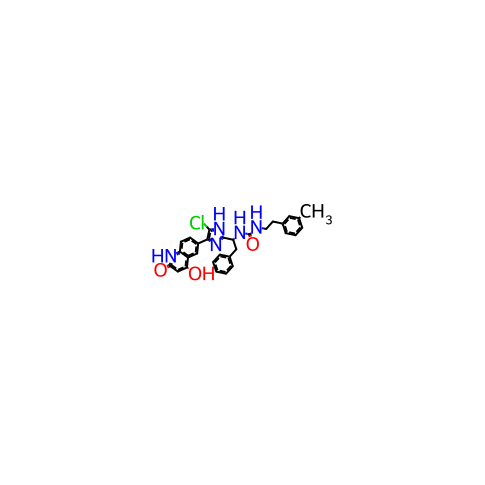 Cc1cccc(CCNC(=O)NC(Cc2ccccc2)c2nc(-c3ccc4[nH]c(=O)cc(O)c4c3)c(Cl)[nH]2)c1